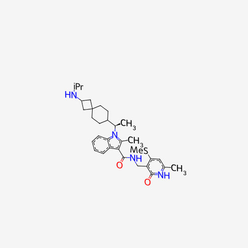 CSc1cc(C)[nH]c(=O)c1CNC(=O)c1c(C)n([C@H](C)C2CCC3(CC2)CC(NC(C)C)C3)c2ccccc12